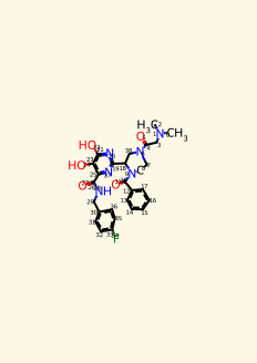 CN(C)CC(=O)N1CCN(C(=O)c2ccccc2)C(c2nc(O)c(O)c(C(=O)NCc3ccc(F)cc3)n2)C1